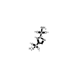 NS(=O)(=O)c1cnn(S(N)(=O)=O)n1